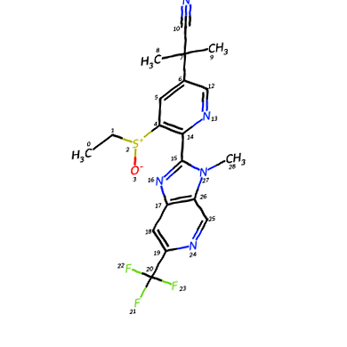 CC[S+]([O-])c1cc(C(C)(C)C#N)cnc1-c1nc2cc(C(F)(F)F)ncc2n1C